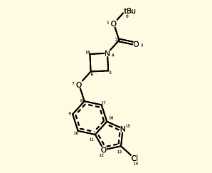 CC(C)(C)OC(=O)N1CC(Oc2ccc3oc(Cl)nc3c2)C1